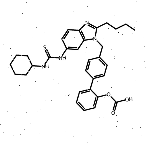 CCCCc1nc2ccc(NC(=S)NC3CCCCC3)cc2n1Cc1ccc(-c2ccccc2OC(=O)O)cc1